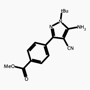 COC(=O)c1ccc(-c2nn(C(C)(C)C)c(N)c2C#N)cc1